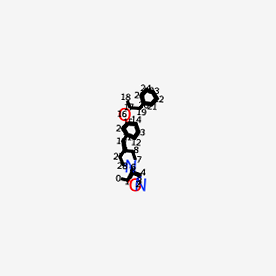 Cc1oncc1N1CCC(=Cc2cccc(OC(C)Cc3ccccc3)c2)CC1